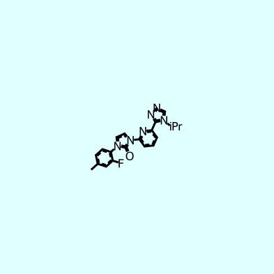 Cc1ccc(-n2ccn(-c3cccc(-c4nncn4C(C)C)n3)c2=O)c(F)c1